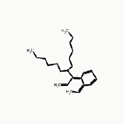 C=C/C(=c1/cccc/c1=C/N)C(CCCCCC)CCCCCC